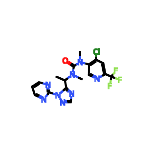 CC(c1ncnn1-c1ncccn1)N(C)C(=O)N(C)c1cnc(C(F)(F)F)cc1Cl